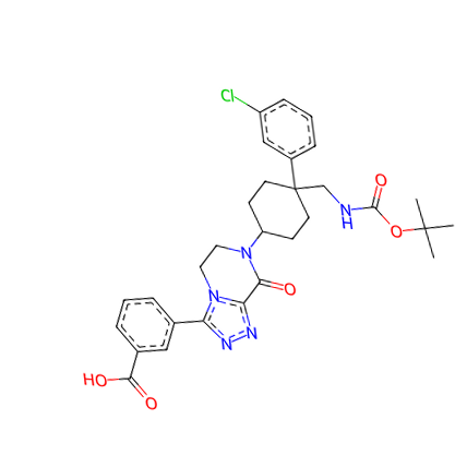 CC(C)(C)OC(=O)NCC1(c2cccc(Cl)c2)CCC(N2CCn3c(nnc3-c3cccc(C(=O)O)c3)C2=O)CC1